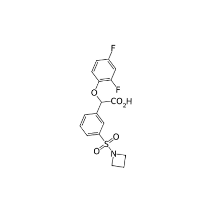 O=C(O)C(Oc1ccc(F)cc1F)c1cccc(S(=O)(=O)N2CCC2)c1